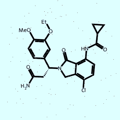 CCOc1cc([C@@H](CC(N)=O)N2Cc3c(Cl)ccc(NC(=O)C4CC4)c3C2=O)ccc1OC